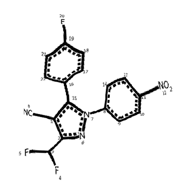 N#Cc1c(C(F)F)nn(-c2ccc([N+](=O)[O-])cc2)c1-c1ccc(F)cc1